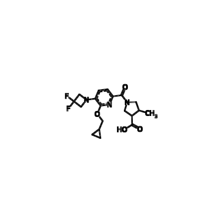 CC1CN(C(=O)c2ccc(N3CC(F)(F)C3)c(OCC3CC3)n2)CC1C(=O)O